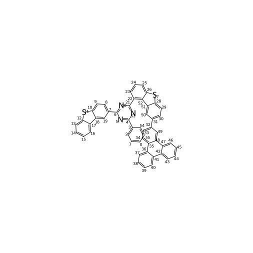 c1ccc(-c2nc(-c3ccc4sc5ccccc5c4c3)nc(-c3cccc4sc5ccc(-c6ccc7c8ccccc8c8ccccc8c7c6)cc5c34)n2)cc1